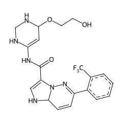 O=C(NC1=CC(OCCO)NCN1)C1=CNC2C=CC(c3ccccc3C(F)(F)F)=NN12